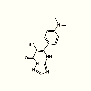 CC(C)c1c(-c2ccc(N(C)C)cc2)[nH]c2ncnn2c1=O